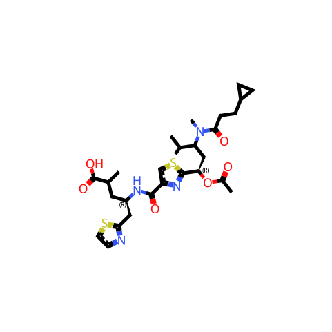 CC(=O)O[C@H](CC(C(C)C)N(C)C(=O)CCC1CC1)c1nc(C(=O)N[C@@H](Cc2nccs2)CC(C)C(=O)O)cs1